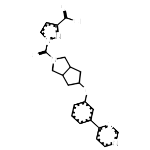 O=C(O)c1ccn(C(=O)N2CC3CC(Oc4cccc(-c5ccncn5)c4)CC3C2)n1